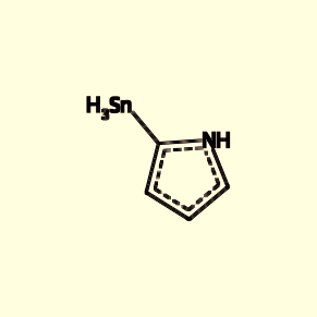 [SnH3][c]1ccc[nH]1